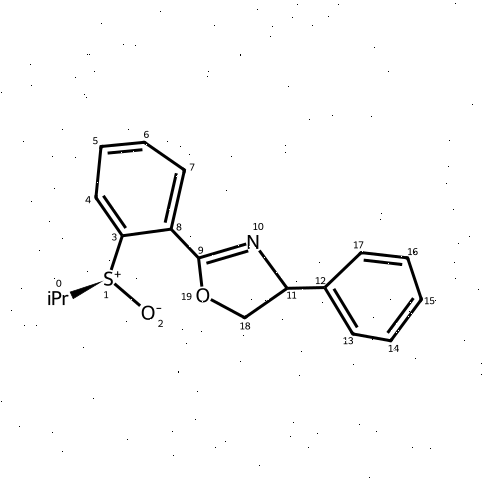 CC(C)[S@+]([O-])c1ccccc1C1=NC(c2ccccc2)CO1